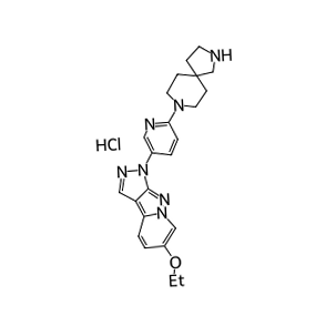 CCOc1ccc2c3cnn(-c4ccc(N5CCC6(CCNC6)CC5)nc4)c3nn2c1.Cl